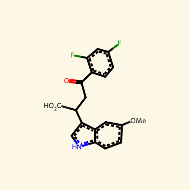 COc1ccc2[nH]cc(C(CC(=O)c3ccc(F)cc3F)C(=O)O)c2c1